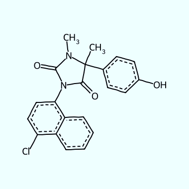 CN1C(=O)N(c2ccc(Cl)c3ccccc23)C(=O)C1(C)c1ccc(O)cc1